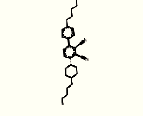 CCCCCCc1ccc(-c2ccc([C@H]3CC[C@H](CCCCC)CC3)c(C#N)c2C#N)cc1